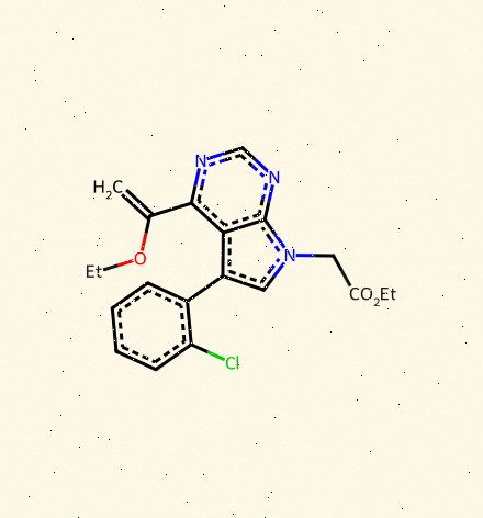 C=C(OCC)c1ncnc2c1c(-c1ccccc1Cl)cn2CC(=O)OCC